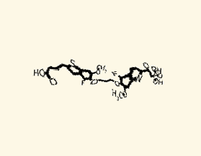 COc1cc2nc(C(=O)CP(=O)(O)O)ccc2c(F)c1OCCCOc1c(OC)cc2sc(/C=C/CC(=O)O)cc2c1F